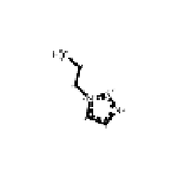 CCC[n+]1ccns1